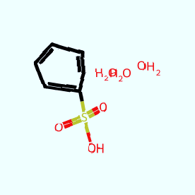 O.O.O.O=S(=O)(O)c1ccccc1